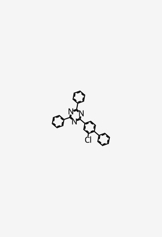 Clc1cc(-c2nc(-c3ccccc3)nc(-c3ccccc3)n2)ccc1-c1ccccc1